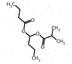 CCCC(=O)OC(CCC)OC(=O)C(C)C